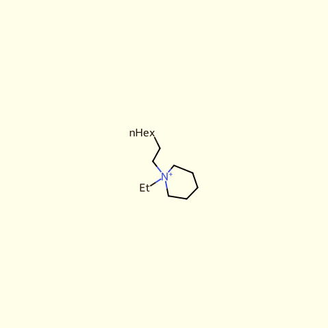 CCCCCCCC[N+]1(CC)CCCCC1